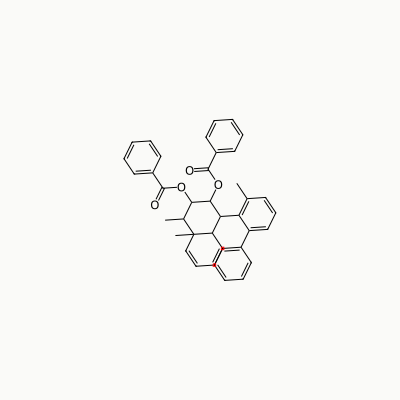 Cc1cccc(-c2ccccc2)c1C1C(OC(=O)c2ccccc2)C(OC(=O)c2ccccc2)C(C)C2(C)C=CC=CC12